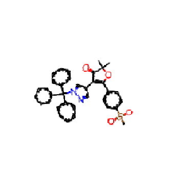 CC1(C)OC(c2ccc(S(C)(=O)=O)cc2)=C(c2cnn(C(c3ccccc3)(c3ccccc3)c3ccccc3)c2)C1=O